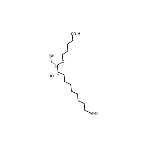 CCCCCCCCCCCCCCCCCC[C@H](O)[C@H](CO)OCCCCC(=O)O